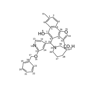 Cc1ccc2c(c1)c(O)c(C(c1ccnc(OCc3ccccc3)c1)N1CCCCC1)c1c(C(=O)O)coc12